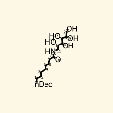 CCCCCCCCCCCCCCCCCC(=O)NC[C@H](O)[C@@H](O)[C@H](O)[C@H](O)CO